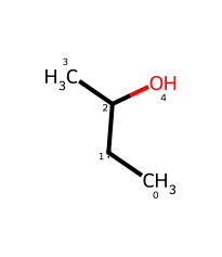 C[CH]C(C)O